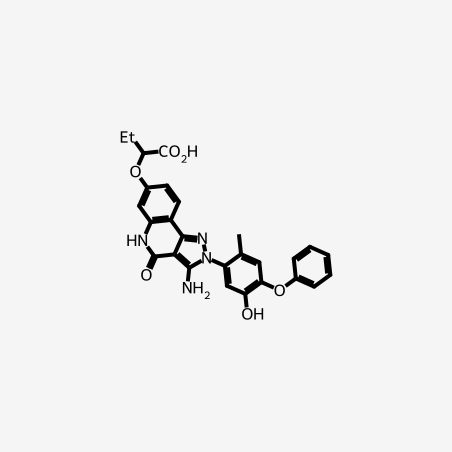 CCC(Oc1ccc2c(c1)[nH]c(=O)c1c(N)n(-c3cc(O)c(Oc4ccccc4)cc3C)nc12)C(=O)O